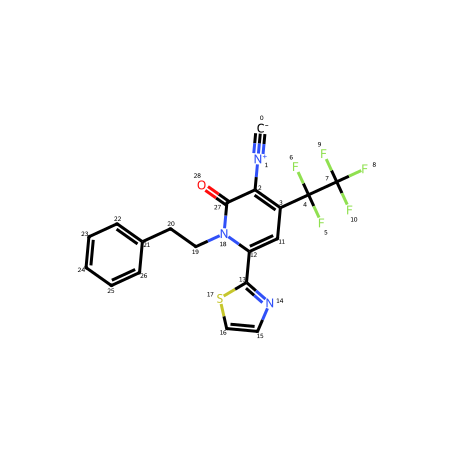 [C-]#[N+]c1c(C(F)(F)C(F)(F)F)cc(-c2nccs2)n(CCc2ccccc2)c1=O